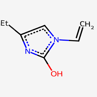 C=Cn1cc(CC)nc1O